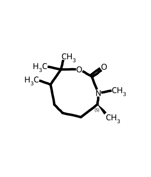 CC1CCC[C@H](C)N(C)C(=O)OC1(C)C